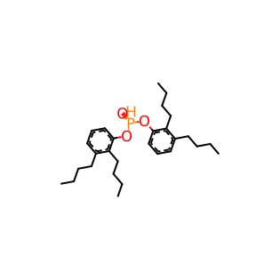 CCCCc1cccc(O[PH](=O)Oc2cccc(CCCC)c2CCCC)c1CCCC